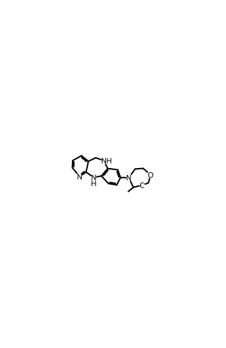 CC1CCOCCN1c1ccc2c(c1)NCc1cccnc1N2